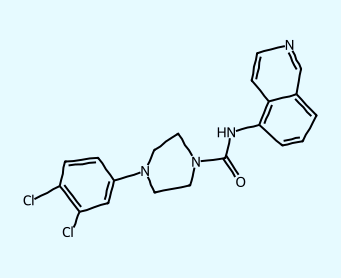 O=C(Nc1cccc2cnccc12)N1CCN(c2ccc(Cl)c(Cl)c2)CC1